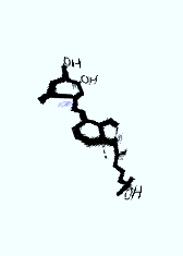 C=C1CC(=CO)[C@H](O)C/C1=C\C=C1CCC[C@@]2(C)C1CC[C@@H]2[C@@H](C)CCCC(C)(C)O